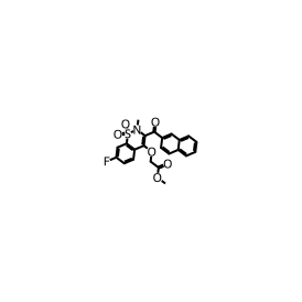 COC(=O)COC1=C(C(=O)c2ccc3ccccc3c2)N(C)S(=O)(=O)c2cc(F)ccc21